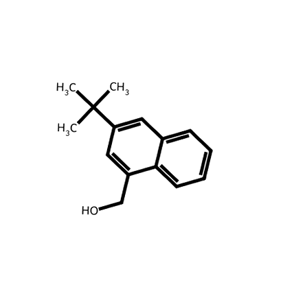 CC(C)(C)c1cc(CO)c2ccccc2c1